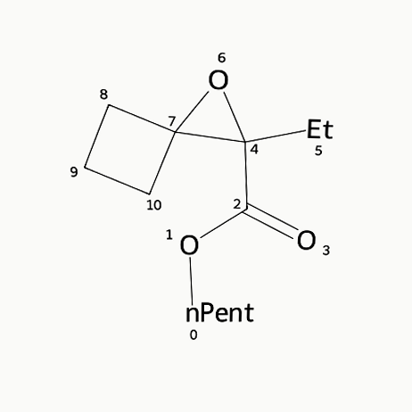 CCCCCOC(=O)C1(CC)OC12CCC2